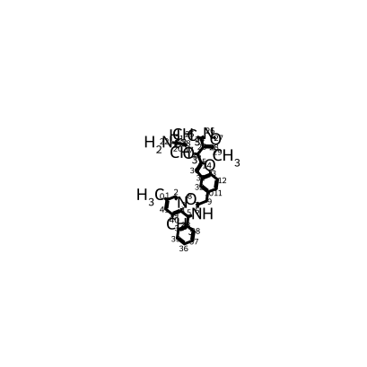 Cc1cnc(C(NC(=O)Cc2ccc3oc(C(OCC(C)(C)N)c4c(C)noc4C)cc3c2)c2ccccc2)c(C)c1